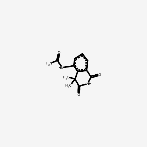 CC1(C)C(=O)NC(=O)c2cccc(NC(N)=O)c21